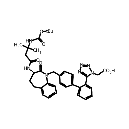 CC(C)(CC(=O)N[C@@H]1CCc2ccccc2N(Cc2ccc(-c3ccccc3-c3nnnn3CC(=O)O)cc2)C1=O)NC(=O)OC(C)(C)C